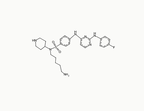 NCCCCCN(C1CCNCC1)S(=O)(=O)c1ccc(Nc2ccnc(Nc3ccc(F)cc3)n2)cc1